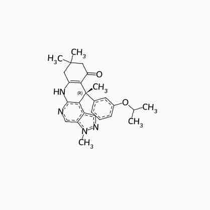 CC(C)Oc1cccc([C@@]2(C)C3=C(CC(C)(C)CC3=O)Nc3ncc4c(cnn4C)c32)c1